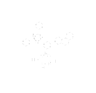 CC1(C)OB(c2cc(-c3ccc4c(ccc5ccccc54)c3)cc(-c3nc(-c4ccccc4)nc(-c4ccccc4)n3)c2)OC1(C)C